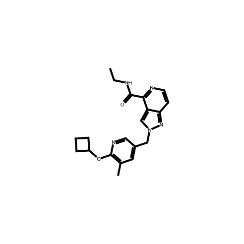 CCNC(=O)c1nccc2nn(Cc3cnc(OC4CCC4)c(C)c3)cc12